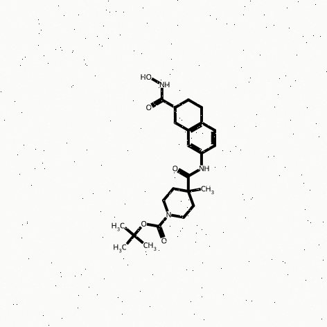 CC(C)(C)OC(=O)N1CCC(C)(C(=O)Nc2ccc3c(c2)CC(C(=O)NO)CC3)CC1